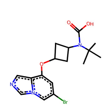 CC(C)(C)N(C(=O)O)C1CC(Oc2cc(Br)cn3cncc23)C1